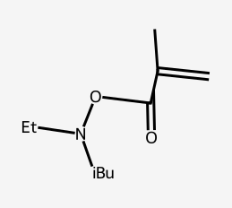 C=C(C)C(=O)ON(CC)C(C)CC